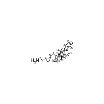 C[C@]12CC[C@H](OCCCN)C[C@H]1CC[C@@H]1[C@@H]2CC[C@]2(C)[C@@H](c3ccoc3)CC[C@@H]12